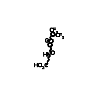 O=C(O)CCCCCNC(=O)/C=C/c1ccc2c(c1)CC/C(=C\c1cc(C(F)(F)F)cc(C(F)(F)F)c1)C2=O